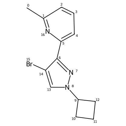 Cc1cccc(-c2nn(C3CCC3)cc2Br)n1